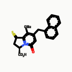 CC(C)COc1c(Cc2cccc3ccccc23)cc(=O)n2c1C(=S)C[C@@H]2C(=O)O